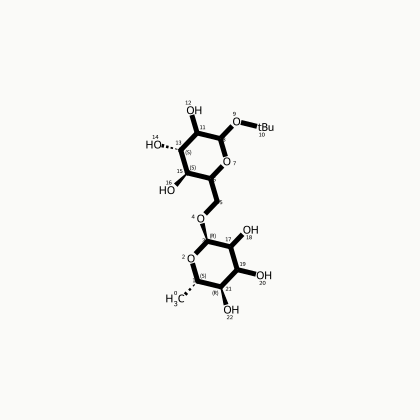 C[C@@H]1O[C@@H](OCC2OC(OC(C)(C)C)C(O)[C@@H](O)[C@@H]2O)C(O)C(O)[C@H]1O